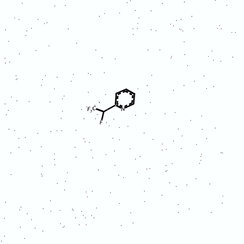 FC(c1ccccn1)C(F)(F)F